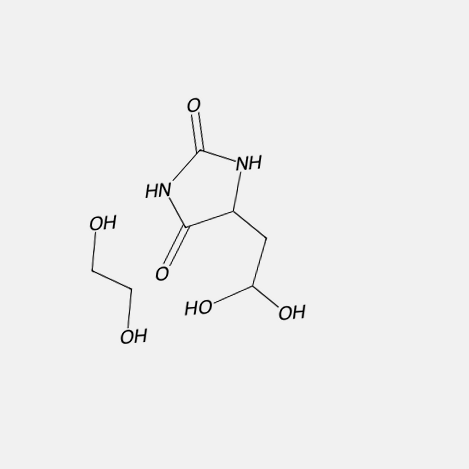 O=C1NC(=O)C(CC(O)O)N1.OCCO